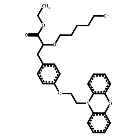 CCCCCCOC(Cc1ccc(OCCN2c3ccccc3Oc3ccccc32)cc1)C(=O)OCC